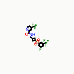 O=C(NCC1CC(S(=O)(=O)c2cc(F)cc(C(F)(F)F)c2)C1)c1cc(C(F)(F)F)ccn1